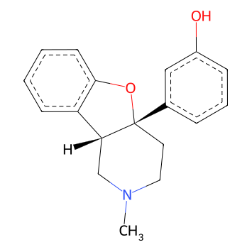 CN1CC[C@@]2(c3cccc(O)c3)Oc3ccccc3[C@H]2C1